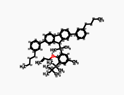 C=CCOc1c([Si](C)(C)C2c3cc(-c4cccc(CCCC)c4)ccc3-c3ccc(-c4cccc(CCCC)c4)cc32)cc(C)cc1[Si](C)(C)C(C)(C)C